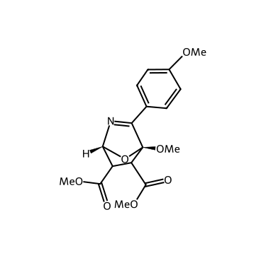 COC(=O)C1C(C(=O)OC)[C@]2(OC)O[C@H]1N=C2c1ccc(OC)cc1